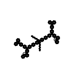 CCCCCCCCC(CCCCCCCC)(c1ccc(-c2ccc(-c3ccc(N(c4ccc(-c5ccc(-n6c7ccccc7c7ccccc76)cc5)cc4)c4ccc(-c5cccc6c5oc5ccccc56)cc4)cc3)cc2)cc1)c1ccc(-c2ccc(-c3ccc(N(c4ccc(-c5ccc(-n6c7ccccc7c7ccccc76)cc5)cc4)c4ccc(-c5cccc6c5oc5ccccc56)cc4)cc3)cc2)cc1